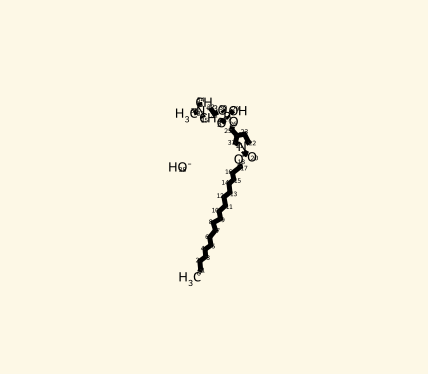 CCCCCCCCCCCCCCCCCCOC(=O)N1CCC(COP(=O)(O)OCC[N+](C)(C)C)C1.[OH-]